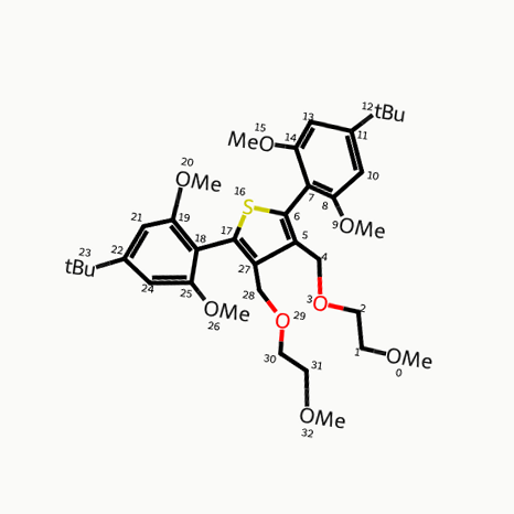 COCCOCc1c(-c2c(OC)cc(C(C)(C)C)cc2OC)sc(-c2c(OC)cc(C(C)(C)C)cc2OC)c1COCCOC